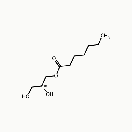 CCCCCCC(=O)OC[C@H](O)CO